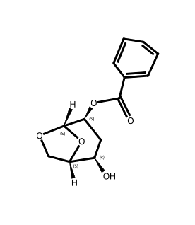 O=C(O[C@H]1C[C@@H](O)[C@@H]2CO[C@H]1O2)c1ccccc1